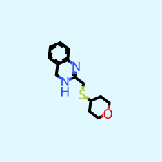 c1ccc2c(c1)CNC(CSC1CCOCC1)=N2